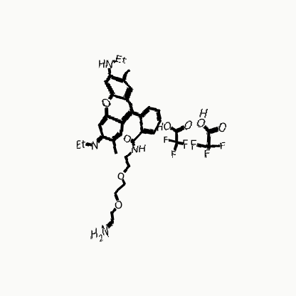 CCN=c1cc2oc3cc(NCC)c(C)cc3c(-c3ccccc3C(=O)NCCOCCOCCN)c-2cc1C.O=C(O)C(F)(F)F.O=C(O)C(F)(F)F